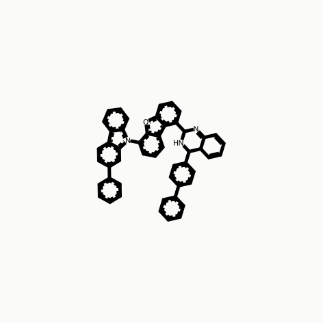 C1=CC2=NC(c3cccc4oc5c(-n6c7ccccc7c7ccc(-c8ccccc8)cc76)cccc5c34)NC(c3ccc(-c4ccccc4)cc3)C2C=C1